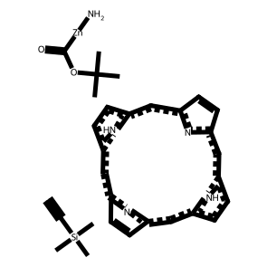 C#C[Si](C)(C)C.C1=Cc2cc3ccc(cc4nc(cc5ccc(cc1n2)[nH]5)C=C4)[nH]3.CC(C)(C)O[C](=O)[Zn][NH2]